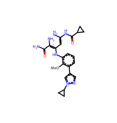 COc1c(NC(/C=C(\N)NC(=O)C2CC2)=C(/N)C(N)=O)cccc1-c1cnn(C2CC2)c1